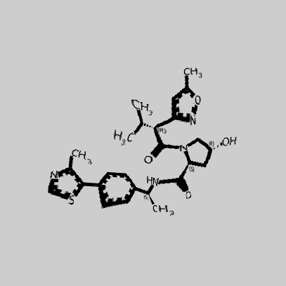 Cc1cc([C@H](C(=O)N2C[C@H](O)C[C@H]2C(=O)N[C@@H](C)c2ccc(-c3scnc3C)cc2)C(C)C)no1